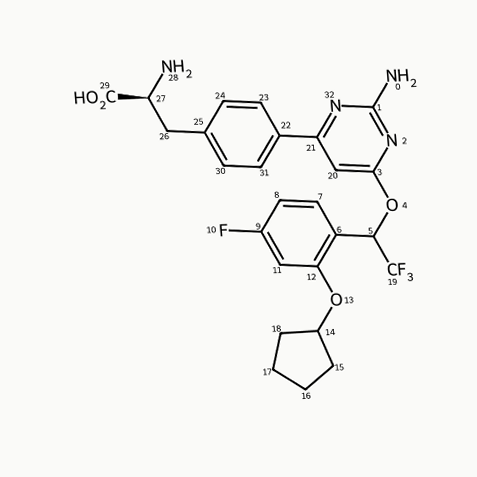 Nc1nc(OC(c2ccc(F)cc2OC2CCCC2)C(F)(F)F)cc(-c2ccc(C[C@H](N)C(=O)O)cc2)n1